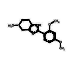 COc1ccc(-c2nc3c([nH]2)C=CN(C)C3)c(OC)c1